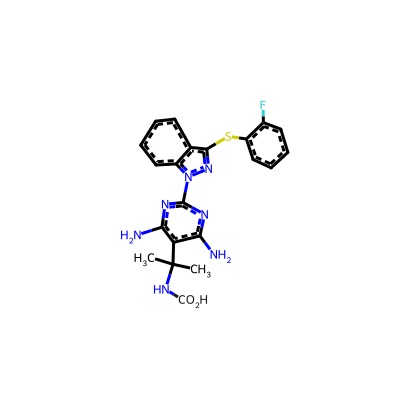 CC(C)(NC(=O)O)c1c(N)nc(-n2nc(Sc3ccccc3F)c3ccccc32)nc1N